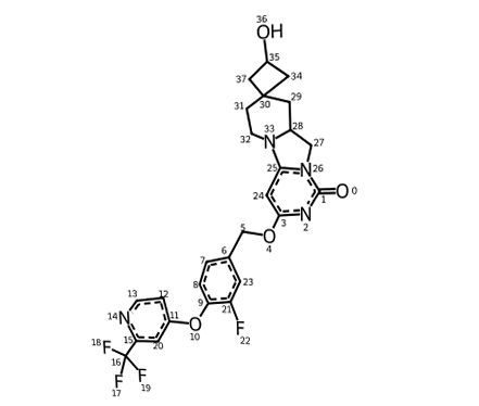 O=c1nc(OCc2ccc(Oc3ccnc(C(F)(F)F)c3)c(F)c2)cc2n1CC1CC3(CCN21)CC(O)C3